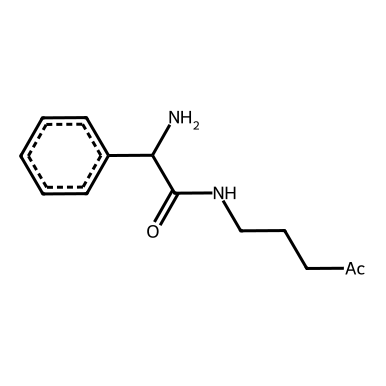 CC(=O)CCCNC(=O)C(N)c1ccccc1